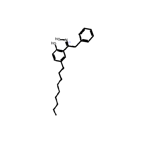 CCCCCCCCCc1ccc(O)c(/C(Cc2ccccc2)=N\O)c1